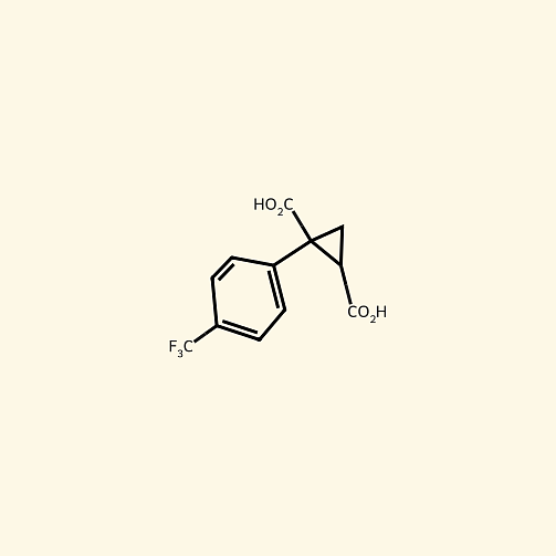 O=C(O)C1CC1(C(=O)O)c1ccc(C(F)(F)F)cc1